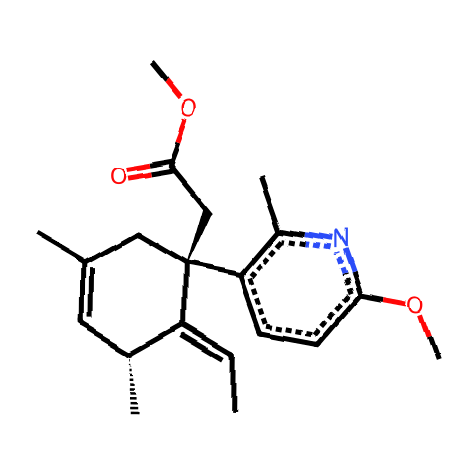 CC=C1[C@H](C)C=C(C)C[C@]1(CC(=O)OC)c1ccc(OC)nc1C